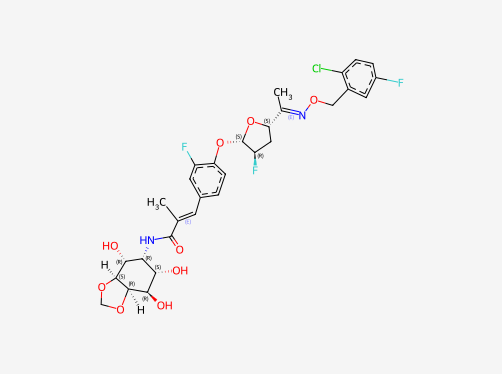 C/C(=C\c1ccc(O[C@@H]2O[C@H](/C(C)=N/OCc3cc(F)ccc3Cl)C[C@H]2F)c(F)c1)C(=O)N[C@@H]1[C@H](O)[C@@H](O)[C@H]2OCO[C@H]2[C@@H]1O